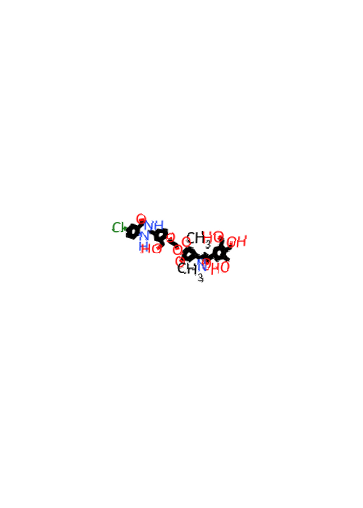 COc1cc(-c2cc(-c3cc(CO)c(CO)c(CO)c3)on2)cc(OC)c1OCCOc1ccc(C2NC(=O)c3cc(Cl)ccc3N2)cc1CO